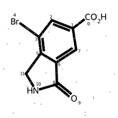 O=C(O)c1cc(Br)c2c(c1)C(=O)NC2